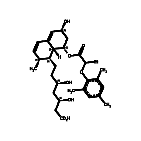 CCC(Oc1c(C)cc(C)cc1C)C(=O)O[C@H]1C[C@H](O)C=C2C=C[C@H](C)[C@H](CC[C@@H](O)C[C@@H](O)CC(=O)O)[C@H]21